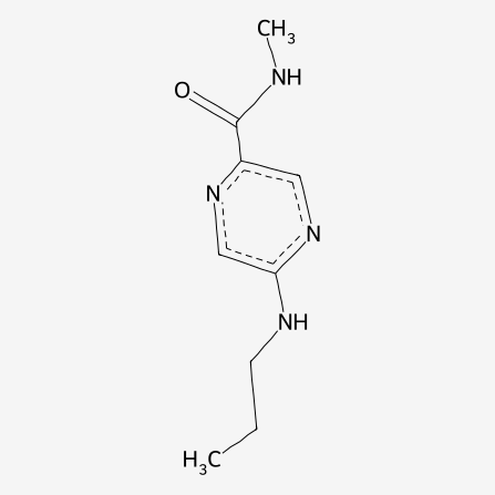 CCCNc1cnc(C(=O)NC)cn1